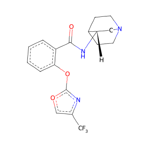 O=C(N[C@H]1CN2CCC1CC2)c1ccccc1Oc1nc(C(F)(F)F)co1